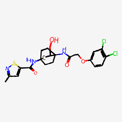 Cc1cc(C(=O)NC23CCC(NC(=O)COc4ccc(Cl)c(Cl)c4)(CC2)C(O)C3)sn1